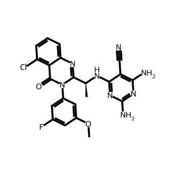 COc1cc(F)cc(-n2c([C@H](C)Nc3nc(N)nc(N)c3C#N)nc3cccc(Cl)c3c2=O)c1